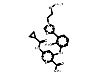 CNC(=O)c1nnc(NC(=O)C2CC2)cc1Nc1cccc(-c2ncn(CCNC(=O)O)n2)c1OC